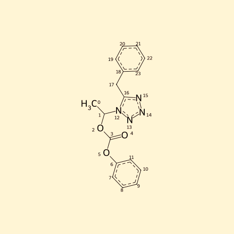 CC(OC(=O)Oc1ccccc1)n1nnnc1Cc1ccccc1